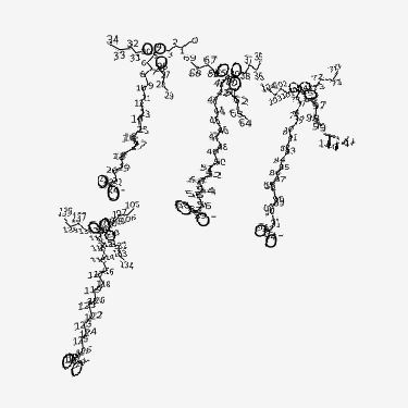 CCCCOC(CCCCCCCCCCCCCCCCC(=O)[O-])(OCCCC)OCCCC.CCCCOC(CCCCCCCCCCCCCCCCC(=O)[O-])(OCCCC)OCCCC.CCCCOC(CCCCCCCCCCCCCCCCC(=O)[O-])(OCCCC)OCCCC.CCCCOC(CCCCCCCCCCCCCCCCC(=O)[O-])(OCCCC)OCCCC.[Ti+4]